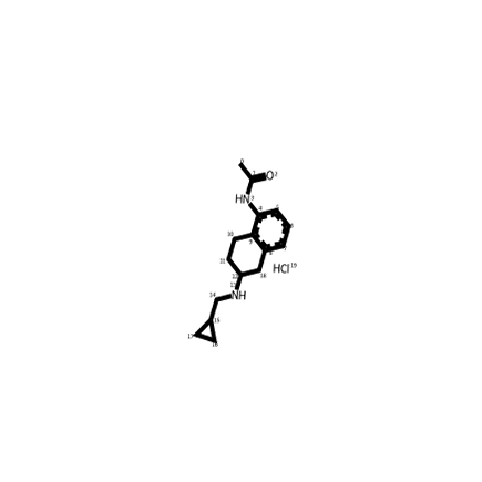 CC(=O)Nc1cccc2c1CCC(NCC1CC1)C2.Cl